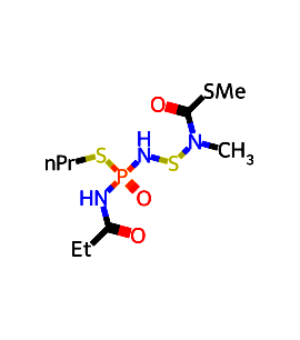 CCCSP(=O)(NSN(C)C(=O)SC)NC(=O)CC